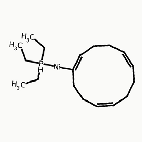 CC[PH](CC)(CC)[Ni][C]1=CCCC=CCCC=CCC1